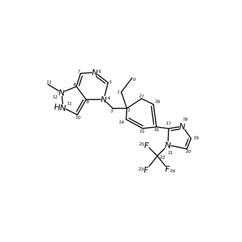 CCC1(CN2C=NC=C3C2=CNN3C)C=CC(c2nccn2C(F)(F)F)=CC1